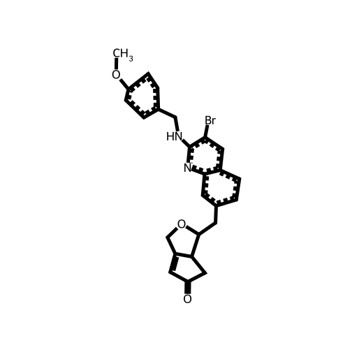 COc1ccc(CNc2nc3cc(CC4OCC5=CC(=O)CC54)ccc3cc2Br)cc1